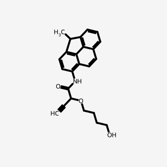 C#CC(OCCCCO)C(=O)Nc1ccc2c3c1ccc1cccc(c13)C2C